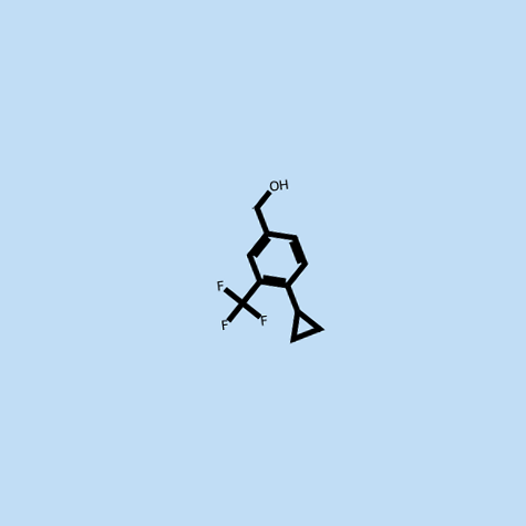 O[CH]c1ccc(C2CC2)c(C(F)(F)F)c1